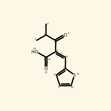 CC(C)C(=O)/C(=C/c1cccs1)C(=O)O